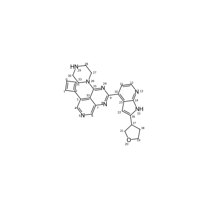 C1=CC(c2cncc3nc(-c4ccnc5[nH]c(C6CCOC6)cc45)nc(N4CCNCC4)c23)=C1